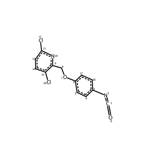 O=C=Nc1ccc(OCc2nc(Cl)ccc2Cl)cc1